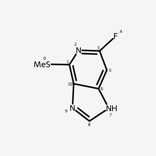 CSc1nc(F)cc2[nH]cnc12